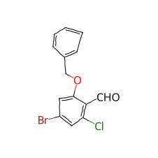 O=Cc1c(Cl)cc(Br)cc1OCc1ccccc1